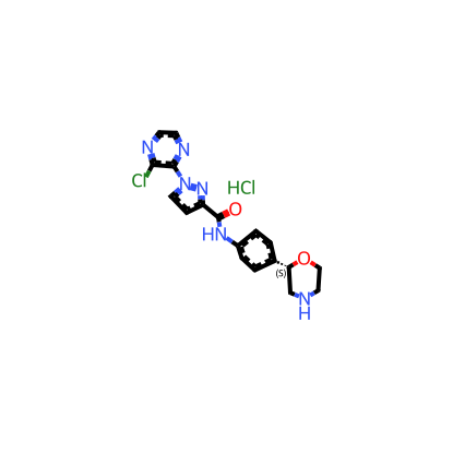 Cl.O=C(Nc1ccc([C@H]2CNCCO2)cc1)c1ccn(-c2nccnc2Cl)n1